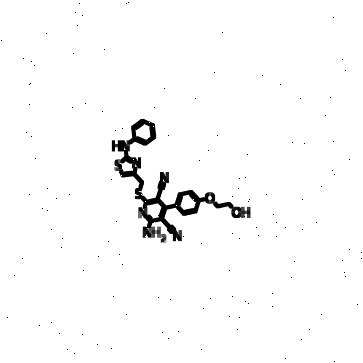 N#Cc1c(N)nc(SCc2csc(Nc3ccccc3)n2)c(C#N)c1-c1ccc(OCCO)cc1